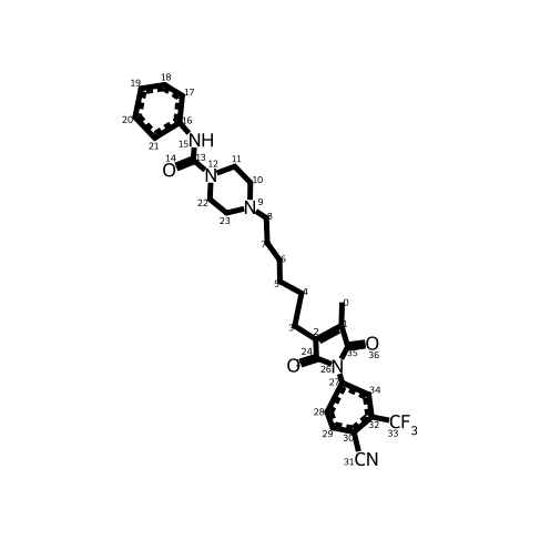 CC1=C(CCCCCCN2CCN(C(=O)Nc3ccccc3)CC2)C(=O)N(c2ccc(C#N)c(C(F)(F)F)c2)C1=O